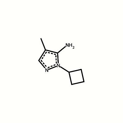 Cc1cnn(C2CCC2)c1N